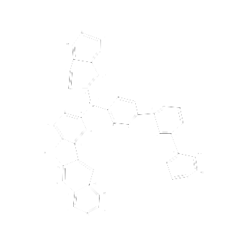 c1ccc(-c2cccc(-c3ccc(N(c4ccc5ccccc5c4)c4ccc5oc6cc7ccccc7cc6c5c4)cc3)c2)cc1